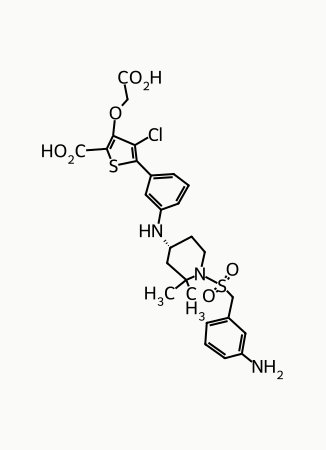 CC1(C)C[C@H](Nc2cccc(-c3sc(C(=O)O)c(OCC(=O)O)c3Cl)c2)CCN1S(=O)(=O)Cc1cccc(N)c1